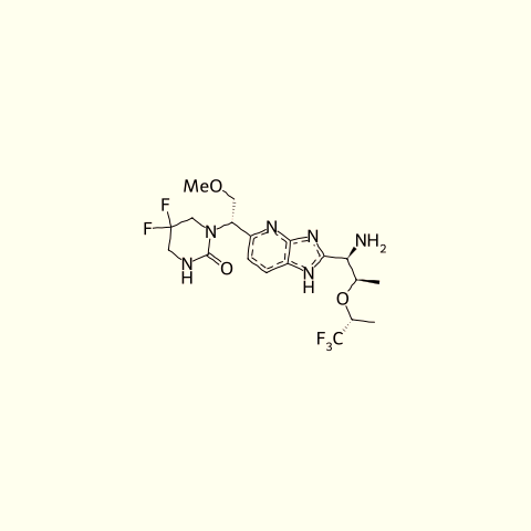 COC[C@H](c1ccc2[nH]c([C@@H](N)[C@@H](C)O[C@H](C)C(F)(F)F)nc2n1)N1CC(F)(F)CNC1=O